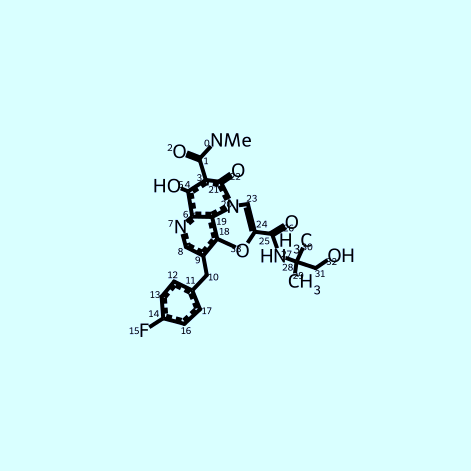 CNC(=O)c1c(O)c2ncc(Cc3ccc(F)cc3)c3c2n(c1=O)C=C(C(=O)NC(C)(C)CO)O3